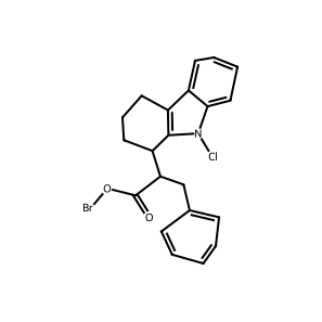 O=C(OBr)C(Cc1ccccc1)C1CCCc2c1n(Cl)c1ccccc21